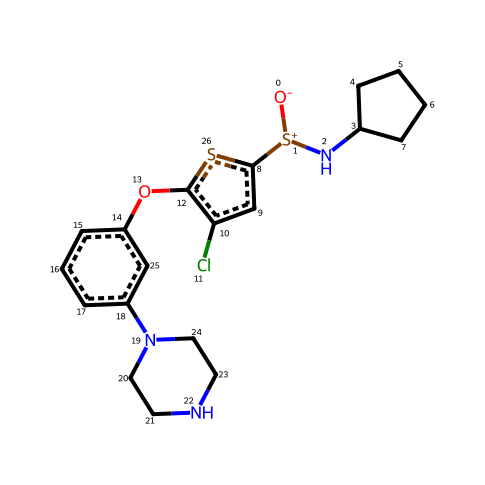 [O-][S+](NC1CCCC1)c1cc(Cl)c(Oc2cccc(N3CCNCC3)c2)s1